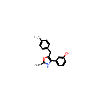 Cc1ccc(CC2=C(c3cccc(O)c3)NC(C=O)O2)cc1